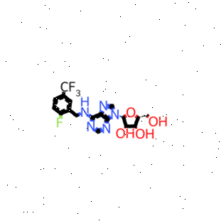 OC[C@H]1O[C@@H](n2cnc3c(NCc4cc(C(F)(F)F)ccc4F)ncnc32)[C@H](O)[C@@H]1O